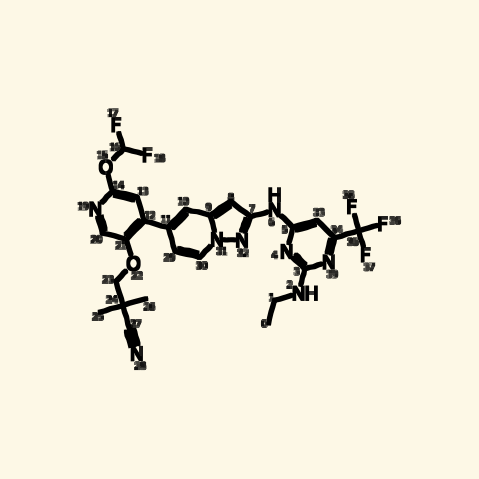 CCNc1nc(Nc2cc3cc(-c4cc(OC(F)F)ncc4OCC(C)(C)C#N)ccn3n2)cc(C(F)(F)F)n1